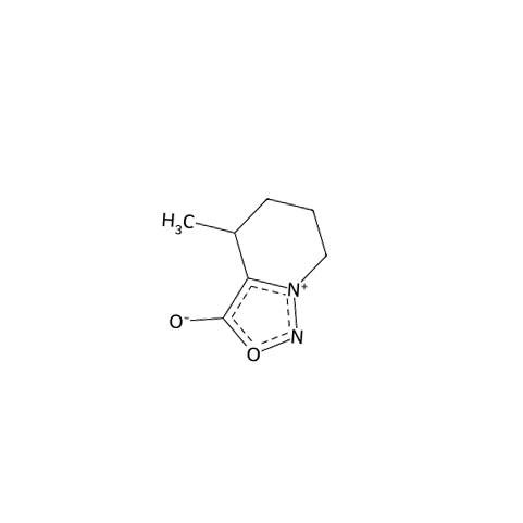 CC1CCC[n+]2noc([O-])c21